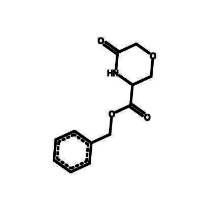 O=C1COCC(C(=O)OCc2ccccc2)N1